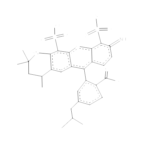 CC(C)Cc1ccc(C(=O)O)c(-c2c3ccc(=N)c(S(=O)(=O)O)c-3oc3c(S(=O)(=O)O)c4c(cc23)C(C)CC(C)(C)N4)c1